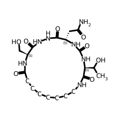 CC(O)[C@@H]1NC(=O)N[C@@H](CC(N)=O)C(=O)NNC(=O)[C@H](CO)NC(=O)CCCCCCCNC1=O